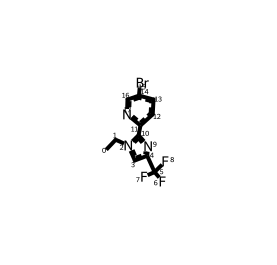 CCn1cc(C(F)(F)F)nc1-c1ccc(Br)cn1